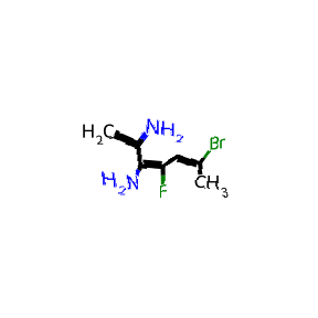 C=C(N)/C(N)=C(F)\C=C(/C)Br